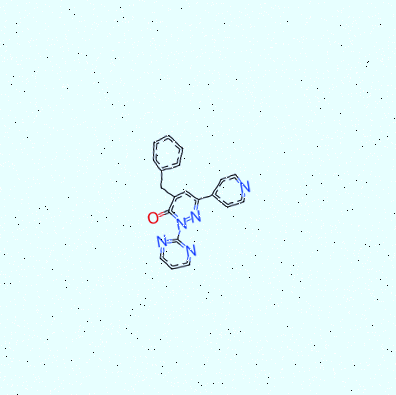 O=c1c(Cc2ccccc2)cc(-c2ccncc2)nn1-c1ncccn1